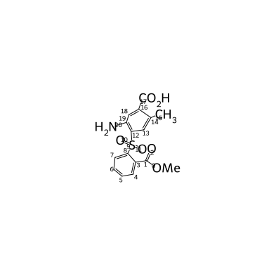 COC(=O)c1ccccc1S(=O)(=O)c1cc(C)c(C(=O)O)cc1N